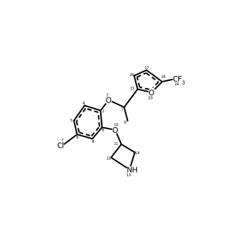 CC(Oc1ccc(Cl)cc1OC1CNC1)c1ccc(C(F)(F)F)o1